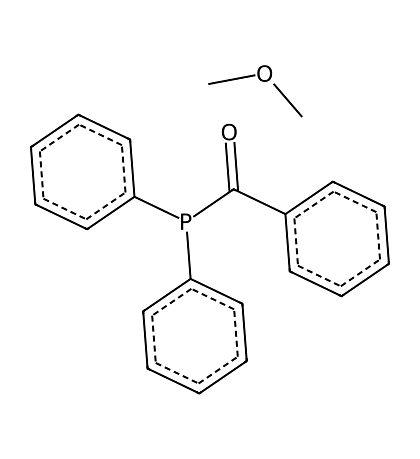 COC.O=C(c1ccccc1)P(c1ccccc1)c1ccccc1